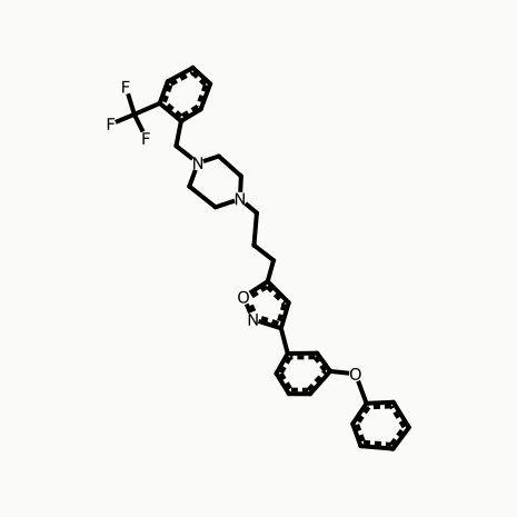 FC(F)(F)c1ccccc1CN1CCN(CCCc2cc(-c3cccc(Oc4ccccc4)c3)no2)CC1